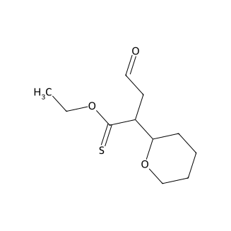 CCOC(=S)C(CC=O)C1CCCCO1